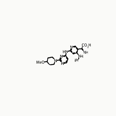 COC1CCN(c2nccc(Nc3cc(NC(C)C)c(C(=N)C(=O)O)cn3)n2)CC1